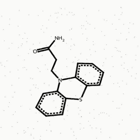 NC(=O)CCN1c2ccccc2Sc2ccccc21